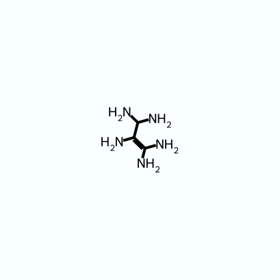 NC(N)=C(N)C(N)N